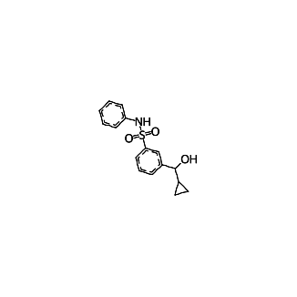 O=S(=O)(Nc1ccccc1)c1cccc(C(O)C2CC2)c1